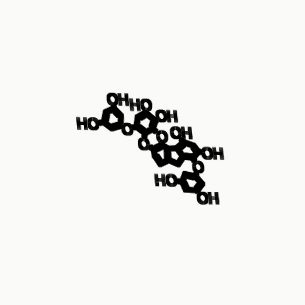 Oc1cc(O)cc(Oc2cc(O)c(O)c3c2Oc2ccc4c(c2O3)-c2c(O)cc(O)c(Oc3cc(O)cc(O)c3)c2C4)c1